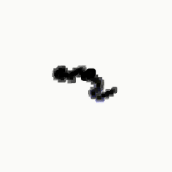 CCCCC/C=C\C/C=C\C/C=C\C/C=C\CCCC(=O)OCC=C(C)C=CC=C(C)C=CC1=C(C)CCCC1(C)C